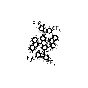 FC(F)(F)c1ccc2c(c1)c1cc(C(F)(F)F)ccc1n2-c1ccc2c(-c3cc4ccccc4c4ccccc34)c3cc(-n4c5ccc(C(F)(F)F)cc5c5cc(C(F)(F)F)ccc54)ccc3c(-c3cc4ccccc4c4ccccc34)c2c1